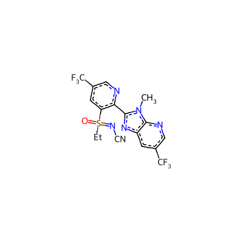 CCS(=O)(=NC#N)c1cc(C(F)(F)F)cnc1-c1nc2cc(C(F)(F)F)cnc2n1C